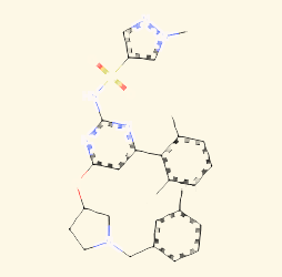 Cc1cccc(CN2CCC(Oc3cc(-c4c(C)cccc4C)nc(NS(=O)(=O)c4cnn(C)c4)n3)C2)c1